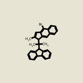 CC1=Cc2c(cc3ccccc3c2Br)C1C(C)(C)C1c2ccccc2-c2ccccc21